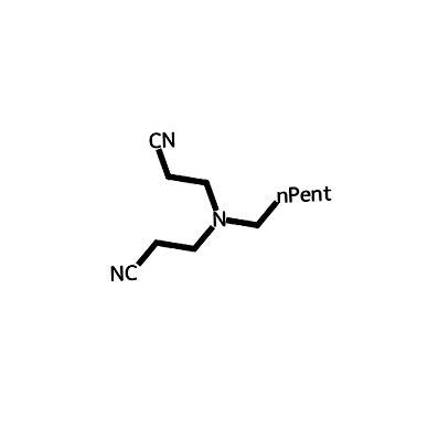 CCCCCCN(CCC#N)CCC#N